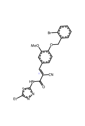 CCc1nnc(NC(=O)/C(C#N)=C/c2ccc(OCc3ccccc3Br)c(OC)c2)s1